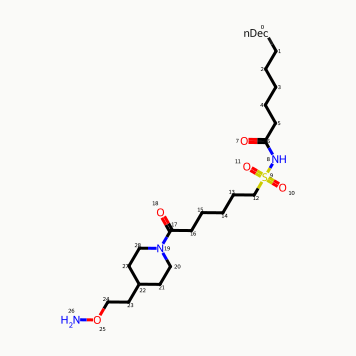 CCCCCCCCCCCCCCCC(=O)NS(=O)(=O)CCCCCC(=O)N1CCC(CCON)CC1